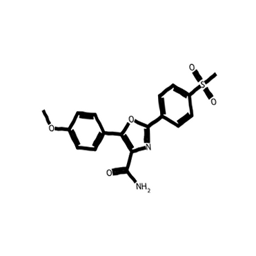 COc1ccc(-c2oc(-c3ccc(S(C)(=O)=O)cc3)nc2C(N)=O)cc1